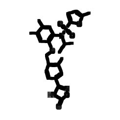 Cc1ccc(S(=O)(=O)N(c2cc(C)c(C)cc2OCc2ccc(-c3noc(=O)[nH]3)cc2C)C(C)C)o1